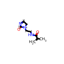 C=C(C)C(=O)NCCN1CC=NC1=O